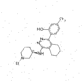 CCN1CCC[C@@H](Nc2nnc(-c3ccc(C(F)(F)F)cc3O)c3c2CCCC3)C1